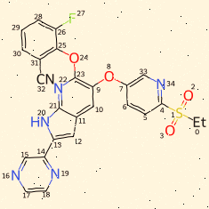 CCS(=O)(=O)c1ccc(Oc2cc3cc(-c4cnccn4)[nH]c3nc2Oc2c(F)cccc2C#N)cn1